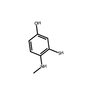 CNc1ccc(O)cc1S